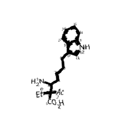 CCC(C(C)=O)(C(=O)O)C(N)CCCCc1c[nH]c2ccccc12